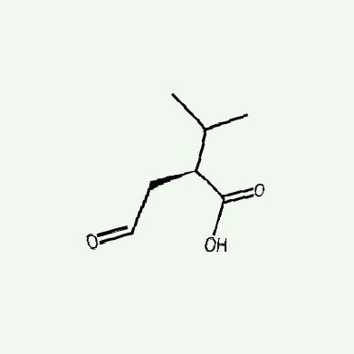 CC(C)[C@H](CC=O)C(=O)O